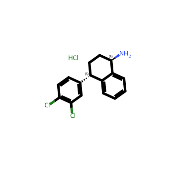 Cl.N[C@@H]1CC[C@@H](c2ccc(Cl)c(Cl)c2)c2ccccc21